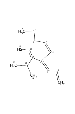 C=C/C=C(\C=C/CCC)C(=C/S)/C(C)C